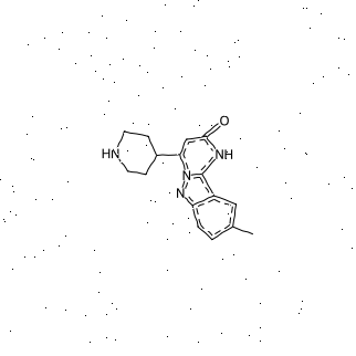 Cc1ccc2nn3c(C4CCNCC4)cc(=O)[nH]c3c2c1